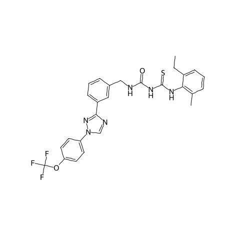 CCc1cccc(C)c1NC(=S)NC(=O)NCc1cccc(-c2ncn(-c3ccc(OC(F)(F)F)cc3)n2)c1